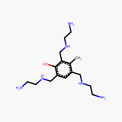 Cc1c(CNCCN)cc(CNCCN)c(O)c1CNCCN